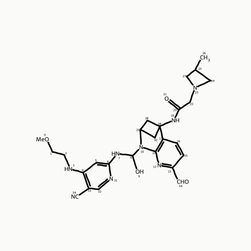 COCCNc1cc(NC(O)N2c3nc(C=O)ccc3C3(NC(=O)CN4CC(C)C4)CC2C3)ncc1C#N